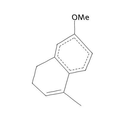 COc1ccc2c(c1)CCC=C2C